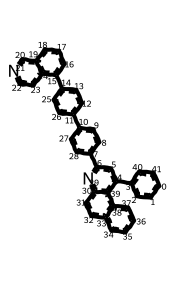 c1ccc(-c2cc(-c3ccc(-c4ccc(-c5cccc6cnccc56)cc4)cc3)nc3ccc4ccccc4c23)cc1